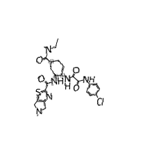 CCN(C)C(=O)[C@H]1CC[C@H](NC(=O)C(=O)Nc2ccc(Cl)cc2)[C@H](NC(=O)c2nc3c(s2)CN(C)C3)C1